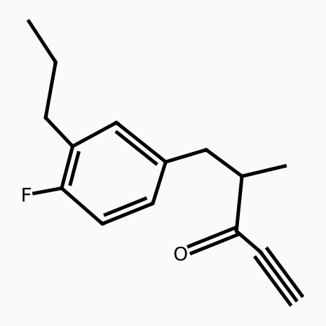 C#CC(=O)C(C)Cc1ccc(F)c(CCC)c1